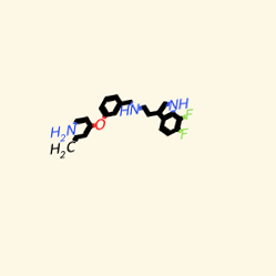 C=C/C=C(\C=C/N)Oc1cccc(CNCCc2c[nH]c3c(F)c(F)ccc23)c1